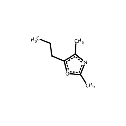 CCCc1oc(C)nc1C